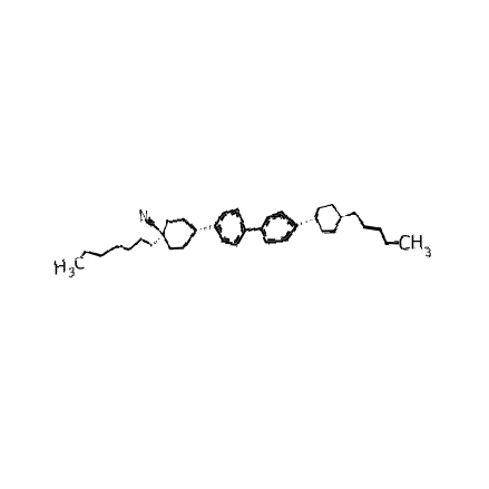 CCCCCCC[C@]1(C#N)CC[C@H](c2ccc(-c3ccc([C@H]4CC[C@H](CCCCC)CC4)cc3)cc2)CC1